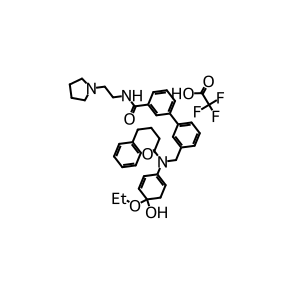 CCOC1(O)C=CC(N(Cc2cccc(-c3cccc(C(=O)NCCN4CCCC4)c3)c2)C(=O)CCCc2ccccc2)=CC1.O=C(O)C(F)(F)F